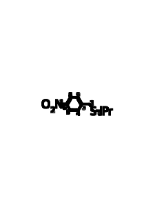 CC(C)SCc1ccc([N+](=O)[O-])cc1